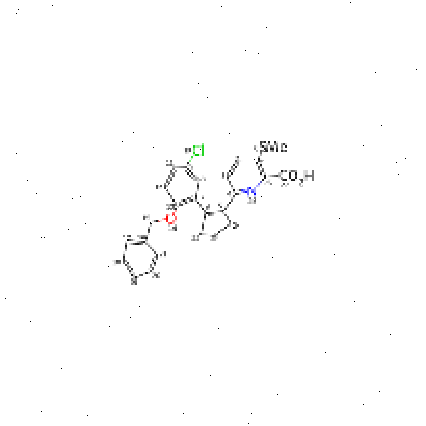 CSc1ccc(C2=C(c3cc(Cl)ccc3OCc3ccccc3)CCC2)nc1C(=O)O